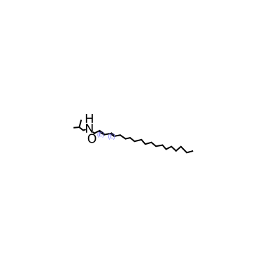 CCCCCCCCCCCCCCC/C=C/C=C/C(=O)NCC(C)C